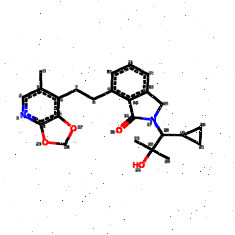 Cc1cnc2c(c1CCc1cccc3c1C(=O)N(C(C1CC1)C(C)(C)O)C3)OCO2